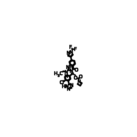 CCNC(=N)N(C(=O)c1ccc(-c2cnn(C(F)F)c2)cc1)[C@H](COC(=O)N1CCC1)c1ccc(Cl)c(-c2ncn[nH]2)c1